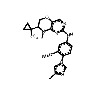 COc1cc(Nc2ncc3c(n2)N(C)C(C2(C(F)(F)F)CC2)CO3)ccc1-n1cnc(C)c1